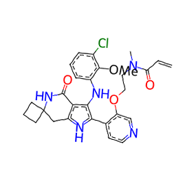 C=CC(=O)N(C)CCOc1cnccc1-c1[nH]c2c(c1Nc1cccc(Cl)c1OC)C(=O)NC1(CCC1)C2